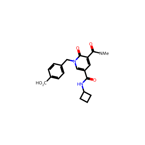 CNC(=O)c1cc(C(=O)NC2CCC2)cn(Cc2ccc(C(=O)O)cc2)c1=O